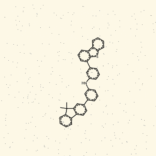 CC1(C)c2ccccc2-c2ccc(-c3cccc(Nc4cccc(-c5cccc6c5sc5ccccc56)c4)c3)cc21